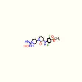 CS(=O)(=O)c1cc(F)c(N[C@H]2CCCN(C3CCN(C(=N)NO)CC3)C2=O)cc1F